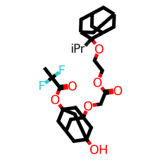 CC(C)C1(OCCOC(=O)COC23CC4CC(O)(C2)CC(OC(=O)C(C)(F)F)(C4)C3)C2CC3CC(C2)CC1C3